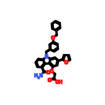 NC(=O)c1cccc2c1c1c(OCC(=O)O)cc(-c3ccco3)cc1n2Cc1cccc(OCc2ccccc2)c1